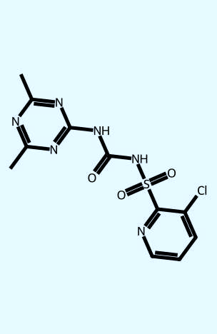 Cc1nc(C)nc(NC(=O)NS(=O)(=O)c2ncccc2Cl)n1